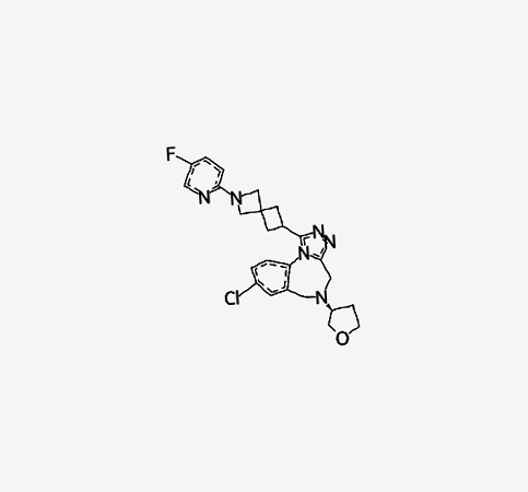 Fc1ccc(N2CC3(CC(c4nnc5n4-c4ccc(Cl)cc4CN([C@H]4CCOC4)C5)C3)C2)nc1